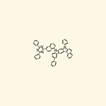 c1ccc(-c2ccc3c(c2)c2cc4c5c6ccccc6ccc5n(-c5ccccc5)c4cc2n3-c2cccc3cc(-c4nc(-c5ccccc5)nc(-c5ccccc5)n4)ccc23)cc1